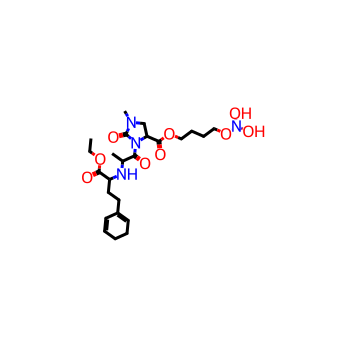 CCOC(=O)C(CCC1=CCCC=C1)NC(C)C(=O)N1C(=O)N(C)CC1C(=O)OCCCCON(O)O